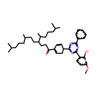 COc1ccc(-c2nc(-c3ccccc3)nc(C3C=CC(C(=O)CCC(CCC(C)CCCC(C)C)C(C)CCCC(C)C)=CC3)n2)c(O)c1